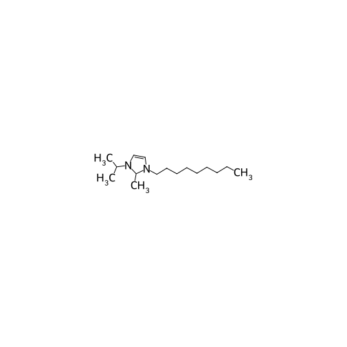 CCCCCCCCCN1C=CN(C(C)C)C1C